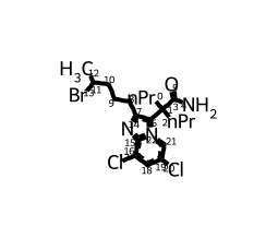 CCCC(CCC)(C(N)=O)c1c(CCCC(C)Br)nc2c(Cl)cc(Cl)cn12